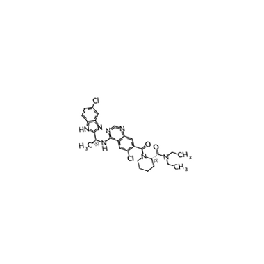 CCN(CC)C(=O)[C@@H]1CCCCN1C(=O)c1cc2ncnc(N[C@@H](C)c3nc4cc(Cl)ccc4[nH]3)c2cc1Cl